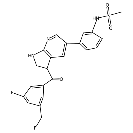 CS(=O)(=O)Nc1cccc(-c2cnc3c(c2)C(C(=O)c2cc(F)cc(CF)c2)CN3)c1